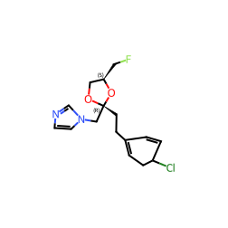 FC[C@@H]1CO[C@@](CCC2=CCC(Cl)C=C2)(Cn2ccnc2)O1